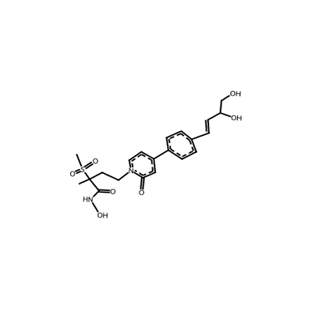 CC(CCn1ccc(-c2ccc(/C=C/C(O)CO)cc2)cc1=O)(C(=O)NO)S(C)(=O)=O